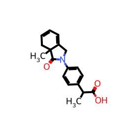 CC(C(=O)O)c1ccc(N2CC3=CC=CCC3(C)C2=O)cc1